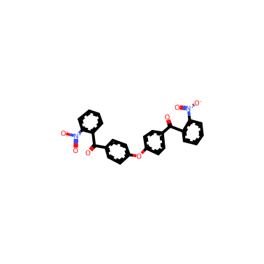 O=C(c1ccc(Oc2ccc(C(=O)c3ccccc3[N+](=O)[O-])cc2)cc1)c1ccccc1[N+](=O)[O-]